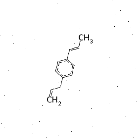 C=CCc1ccc(C=CC)cc1